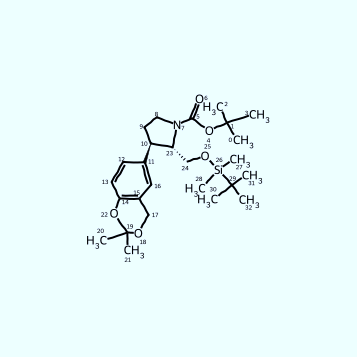 CC(C)(C)OC(=O)N1CC[C@H](c2ccc3c(c2)COC(C)(C)O3)[C@H]1CO[Si](C)(C)C(C)(C)C